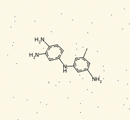 Cc1cc(N)cc(Nc2ccc(N)c(N)c2)c1